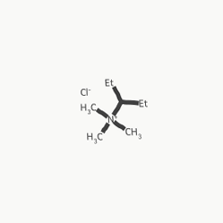 CCC(CC)[N+](C)(C)C.[Cl-]